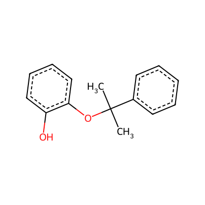 CC(C)(Oc1ccccc1O)c1ccccc1